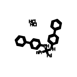 CCC[C]([Pd])(Pc1ccc(-c2ccccc2)cc1)Pc1ccc(-c2ccccc2)cc1.Cl.Cl